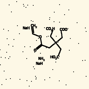 C=COC(=O)C[N+](CC(=O)[O-])(CC(=O)O)CC(=O)O.N.[NaH].[NaH]